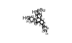 CCCCNc1ncc2c3ccc(N4CCN(C)CC4)cc3c(=O)n([C@H]3CC[C@](C)(O)CC3)c2n1